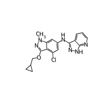 Cn1nc(OCC2CC2)c2c(Cl)cc(Nc3n[nH]c4ncccc34)cc21